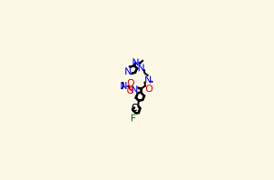 Cc1nc2cnccc2n1CCCN(C)CC(=O)c1cn(OC(=O)N(C)C)c2cc(-c3ccc(F)cc3)ccc12